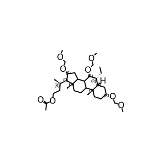 CC[C@H]1[C@@H](OCOC)C2C3C[C@H](OCOC)[C@H]([C@H](C)CCOC(C)=O)[C@@]3(C)CCC2[C@@]2(C)CC[C@@H](OCOC)C[C@@H]12